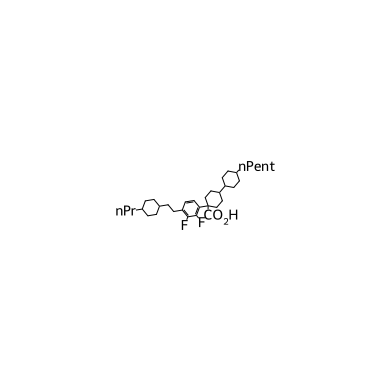 CCCCCC1CCC(C2CCC(C(=O)O)(c3ccc(CCC4CCC(CCC)CC4)c(F)c3F)CC2)CC1